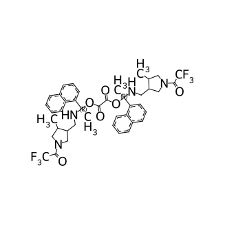 CC1CN(C(=O)C(F)(F)F)CC1CN[C@](C)(OC(=O)C(=O)O[C@@](C)(NCC1CN(C(=O)C(F)(F)F)CC1C)c1cccc2ccccc12)c1cccc2ccccc12